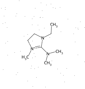 CCN1CC[N+](C)=C1N(C)C